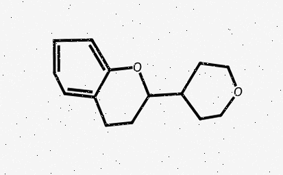 c1ccc2c(c1)CCC(C1CCOCC1)O2